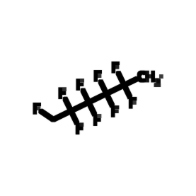 [CH2]C(F)(F)C(F)(F)C(F)(F)C(F)(F)CF